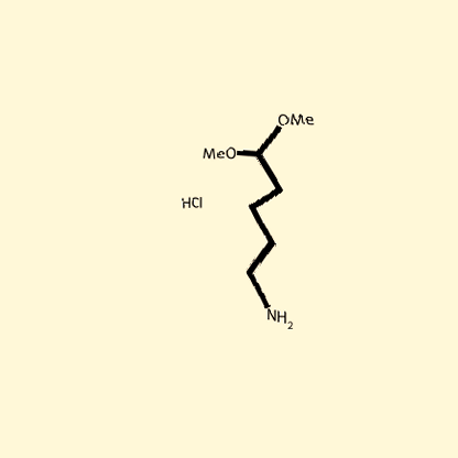 COC(CCCCN)OC.Cl